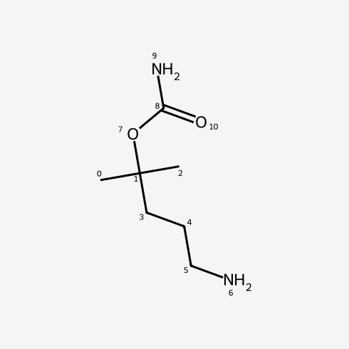 CC(C)(CCCN)OC(N)=O